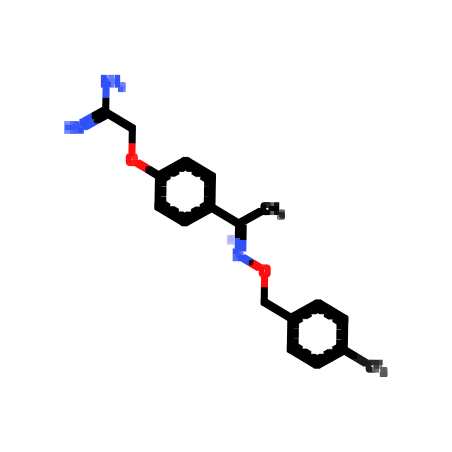 C/C(=N\OCc1ccc(C(F)(F)F)cc1)c1ccc(OCC(=N)N)cc1